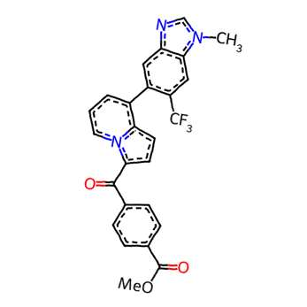 COC(=O)c1ccc(C(=O)c2ccc3c(-c4cc5ncn(C)c5cc4C(F)(F)F)cccn23)cc1